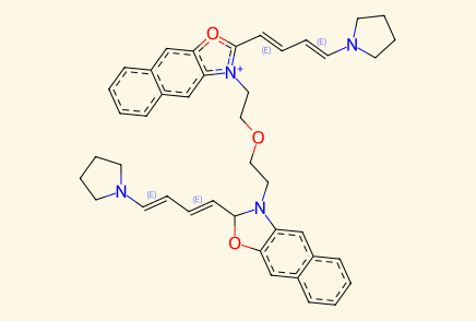 C(/C=C/N1CCCC1)=C\c1oc2cc3ccccc3cc2[n+]1CCOCCN1c2cc3ccccc3cc2OC1/C=C/C=C/N1CCCC1